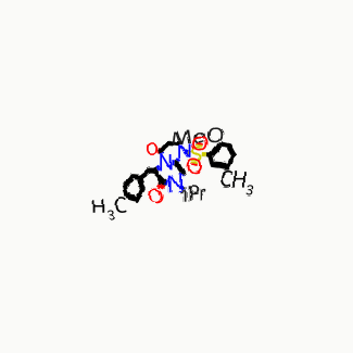 COc1ccc(C)cc1S(=O)(=O)N1CCC(=O)N2C(Cc3ccc(C)cc3)C(=O)N(C(C)C)CC21